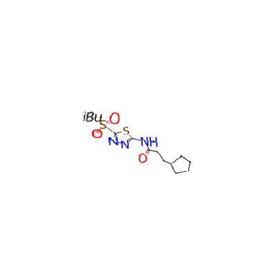 CC[C@@H](C)S(=O)(=O)c1nnc(NC(=O)CCC2CCCC2)s1